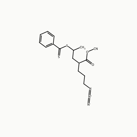 CC(CC(CCCN=[N+]=[N-])C(=O)OC#N)SC(=S)c1ccccc1